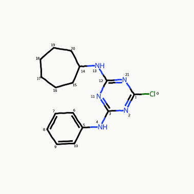 Clc1nc(Nc2ccccc2)nc(NC2CCCCCC2)n1